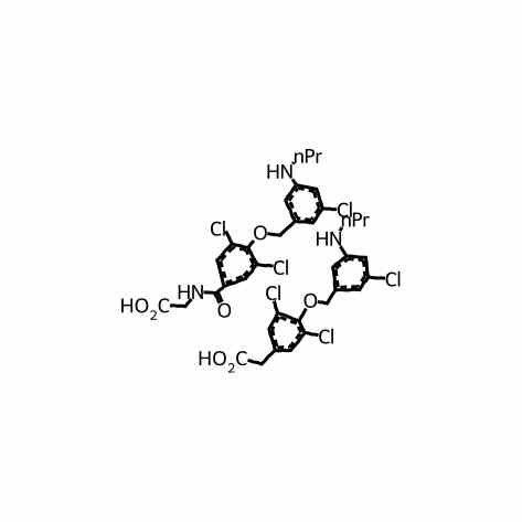 CCCNc1cc(Cl)cc(COc2c(Cl)cc(C(=O)NCC(=O)O)cc2Cl)c1.CCCNc1cc(Cl)cc(COc2c(Cl)cc(CC(=O)O)cc2Cl)c1